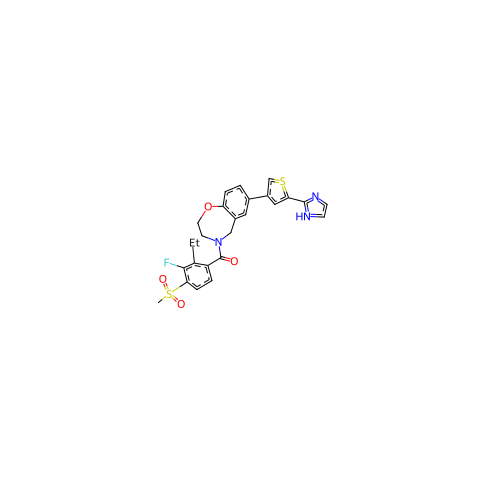 CCc1c(C(=O)N2CCOc3ccc(-c4csc(-c5ncc[nH]5)c4)cc3C2)ccc(S(C)(=O)=O)c1F